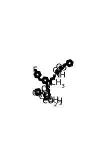 C[C@@H]1COCCN1C[C@H]1CN(C(=O)O)[C@H](C)CN1CC(=O)N1CC(C)(CCCNC(=O)CC(=O)OCc2ccccc2)c2ccc(Cc3ccc(F)cc3)cc21